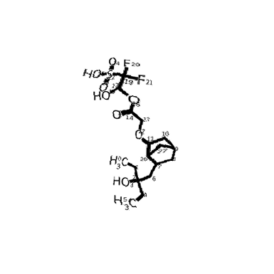 CCC(O)(CC)CC1CC2CC(OCC(=O)OC(O)C(F)(F)S(=O)(=O)O)C1C2